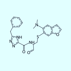 CN(C)c1cc2ccoc2cc1SCC(C=O)NC(=O)c1nnc(Cc2ccccc2)[nH]1